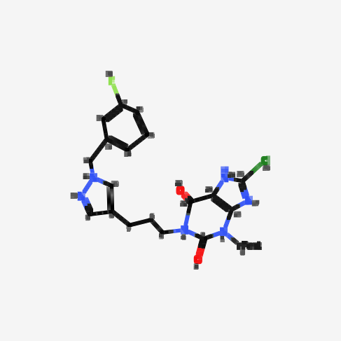 CCCCCn1c(=O)n(CCCc2cnn(Cc3cccc(F)c3)c2)c(=O)c2[nH]c(Cl)nc21